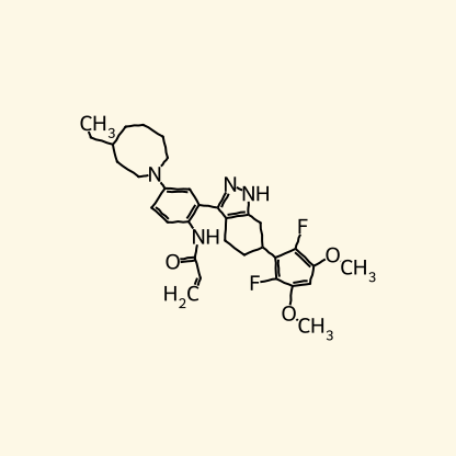 C=CC(=O)Nc1ccc(N2CCCCC(CC)CC2)cc1-c1n[nH]c2c1CCC(c1c(F)c(OC)cc(OC)c1F)C2